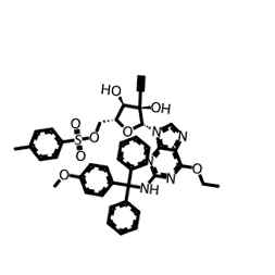 C#C[C@@]1(O)[C@H](O)[C@@H](COS(=O)(=O)c2ccc(C)cc2)O[C@H]1n1cnc2c(OCC)nc(NC(c3ccccc3)(c3ccccc3)c3ccc(OC)cc3)nc21